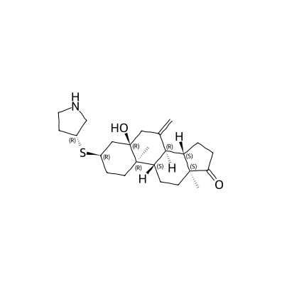 C=C1C[C@@]2(O)C[C@H](S[C@@H]3CCNC3)CC[C@]2(C)[C@H]2CC[C@]3(C)C(=O)CC[C@H]3[C@H]12